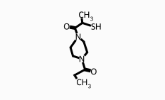 CCC(=O)N1CCN(C(=O)C(C)S)CC1